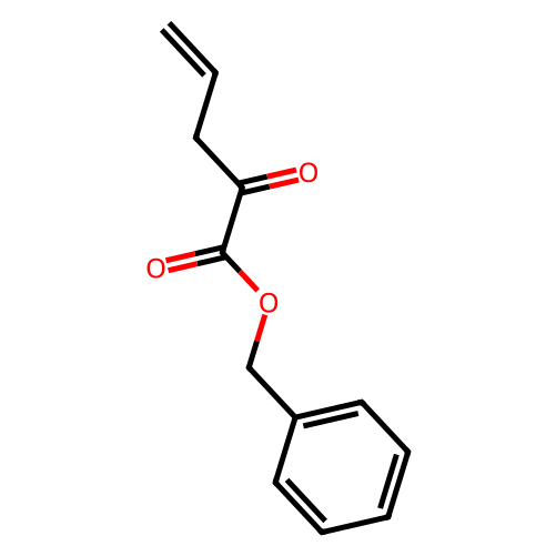 C=CCC(=O)C(=O)OCc1ccccc1